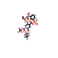 C=CCON(C1CN(C(=O)OC(C)(C)C)C(CO[Si](C)(C)C(C)(C)C)C=C1COS(C)(=O)=O)S(=O)(=O)c1ccccc1[N+](=O)[O-]